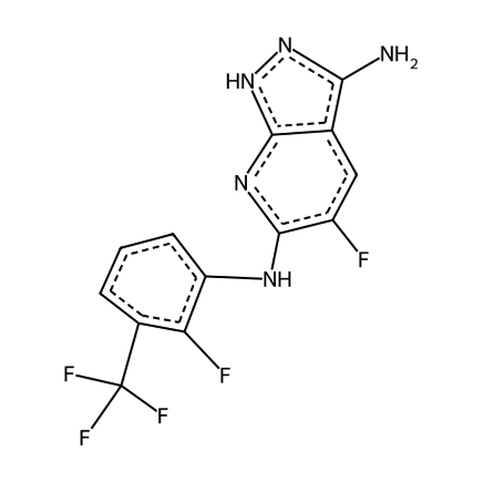 Nc1n[nH]c2nc(Nc3cccc(C(F)(F)F)c3F)c(F)cc12